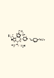 COc1ccc(C=Cc2ccc(C3=NC([C@H](C)C(=O)O)c4nnc(C)n4-c4sc(C)c(C)c43)cc2)cc1